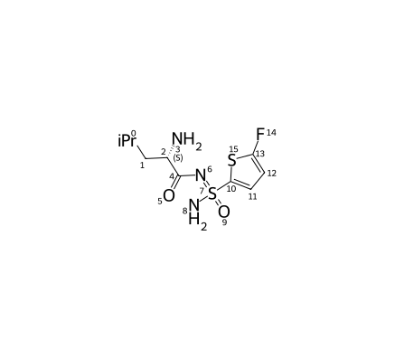 CC(C)C[C@H](N)C(=O)N=S(N)(=O)c1ccc(F)s1